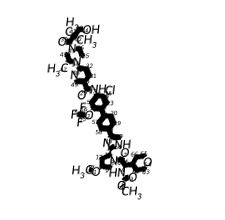 COC(=O)N[C@H](C(=O)N1C[C@@H](OC)C[C@H]1c1nc(-c2ccc(-c3cc(Cl)c(NC(=O)c4ccc(N5CCN(C(=O)C(C)(C)CO)CC5C)nc4)cc3OC(F)(F)F)cc2)c[nH]1)C1CCOCC1